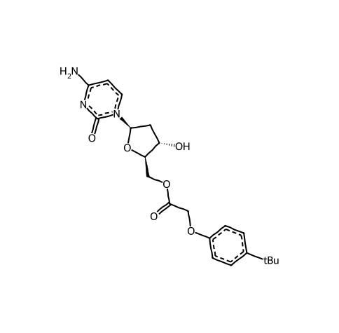 CC(C)(C)c1ccc(OCC(=O)OC[C@H]2O[C@@H](n3ccc(N)nc3=O)C[C@@H]2O)cc1